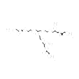 C=CC(=O)OCOCCOCC(COCCOCC(O)COC(=O)C=C)OCCOCC(O)COC(=O)C=C